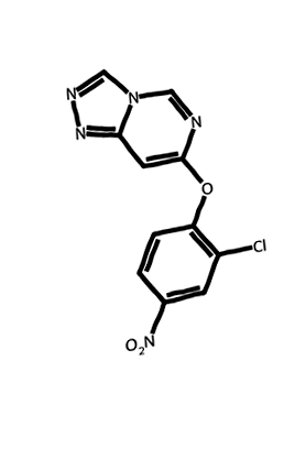 O=[N+]([O-])c1ccc(Oc2cc3nncn3cn2)c(Cl)c1